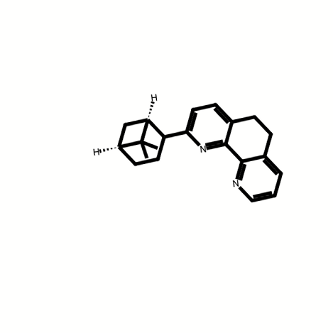 CC1(C)[C@H]2CCC(c3ccc4c(n3)-c3ncccc3CC4)[C@@H]1C2